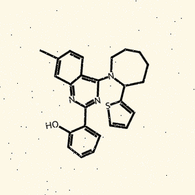 Cc1ccc2c(N3CCCCCC3c3cccs3)nc(-c3ccccc3O)nc2c1